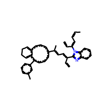 C=C/C(=C\C=C(/C)c1cccc(-c2cccc(C)c2)c2c(ccc1)=CCCC=2)c1nc2ccccc2n1/C(C=C)=C/C=C\C